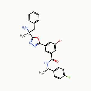 C[C@@H](NC(=O)c1cc(Br)cc(-c2nnc([C@@](C)(N)Cc3ccccc3)o2)c1)c1ccc(F)cc1